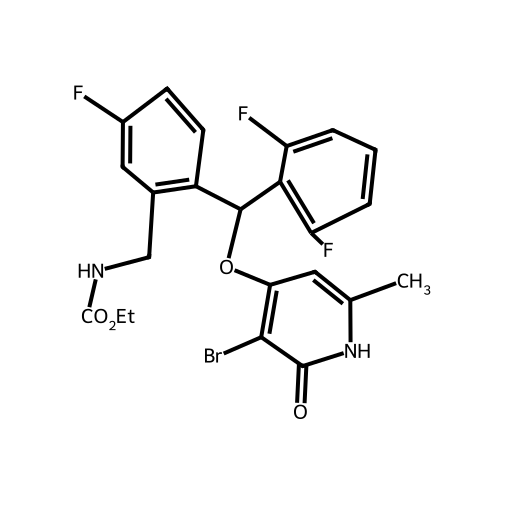 CCOC(=O)NCc1cc(F)ccc1C(Oc1cc(C)[nH]c(=O)c1Br)c1c(F)cccc1F